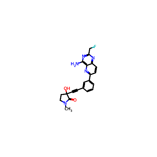 CN1CCC(O)(C#Cc2cccc(-c3ccc4nc(CF)nc(N)c4n3)c2)C1=O